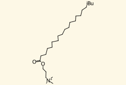 CCC(C)CCCCCCCCCCCCCCCCC(=O)OCCC[N+](C)(C)C